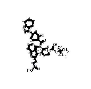 CC(C)(C)OC(=O)N1CCC[C@@H](N(C(=O)c2ccc(-n3nnc4cccnc43)cc2F)c2nccc3sc(/C=C/C(=O)O)cc23)C1